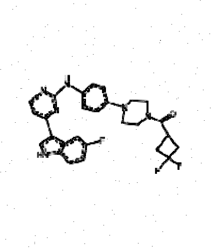 O=C(C1CC(F)(F)C1)N1CCN(c2ccc(Nc3nccc(-c4c[nH]c5ccc(F)cc45)n3)cc2)CC1